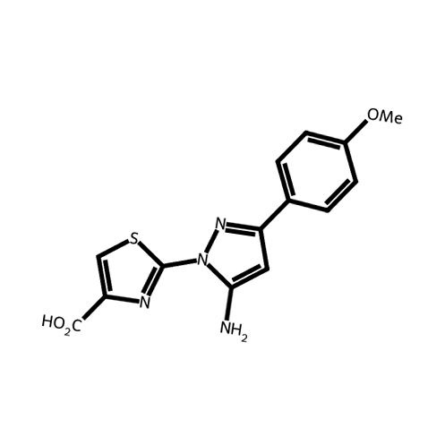 COc1ccc(-c2cc(N)n(-c3nc(C(=O)O)cs3)n2)cc1